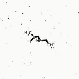 CCBCB(C)I